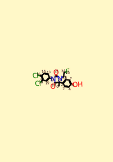 CC1(c2ccc(O)cc2)C(=O)N(c2ccc(Cl)c(Cl)c2)C(=O)N1CCF